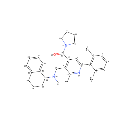 CCc1cccc(CC)c1-c1cc(C(=O)N2CCCC2)c(CN(C)C2CCCc3ccccc32)c(C)n1